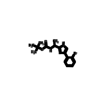 CC(NC(=O)OC(C)(C)C)c1nc(-c2ccccc2Br)c[nH]1